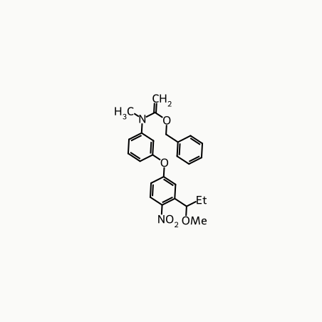 C=C(OCc1ccccc1)N(C)c1cccc(Oc2ccc([N+](=O)[O-])c(C(CC)OC)c2)c1